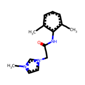 Cc1cccc(C)c1NC(=O)C[n+]1ccn(C)c1